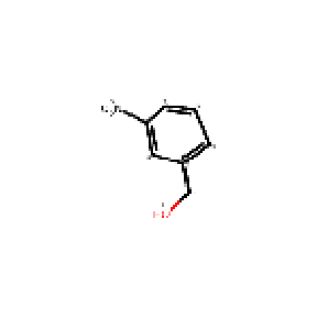 O=[N+]([O-])c1[c]ccc(CO)c1